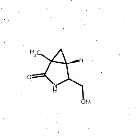 CC12C[C@@H]1C(CO)NC2=O